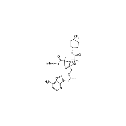 CCCCCCOC(=O)C(C)(C)NP(=O)(CO[C@H](C)Cn1cnc2c(N)ncnc21)NC(C)(C)C(=O)O[C@H]1CC[C@H](C(F)(F)F)CC1